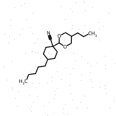 CCCCCC1CCC(C#N)(C2OCC(CCC)CO2)CC1